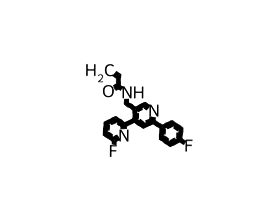 C=CC(=O)NCc1cnc(-c2ccc(F)cc2)cc1-c1cccc(F)n1